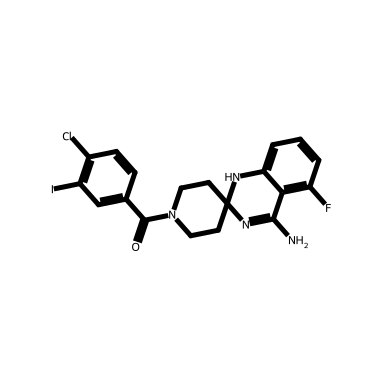 NC1=NC2(CCN(C(=O)c3ccc(Cl)c(I)c3)CC2)Nc2cccc(F)c21